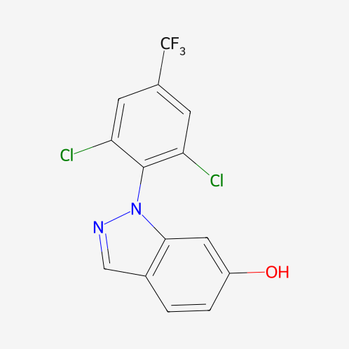 Oc1ccc2cnn(-c3c(Cl)cc(C(F)(F)F)cc3Cl)c2c1